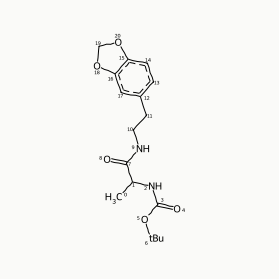 CC(NC(=O)OC(C)(C)C)C(=O)NCCc1ccc2c(c1)OCO2